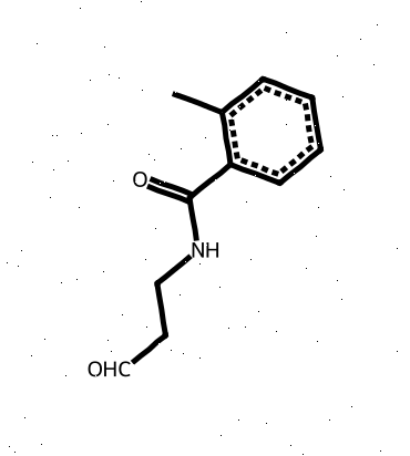 Cc1ccccc1C(=O)NCCC=O